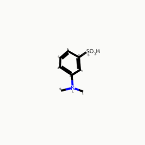 CN(C)c1cccc(S(=O)(=O)O)c1